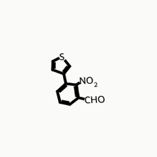 O=Cc1cccc(-c2ccsc2)c1[N+](=O)[O-]